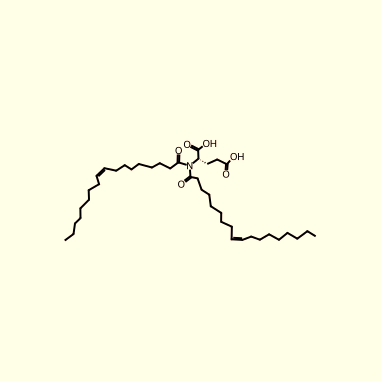 CCCCCCCC/C=C\CCCCCCCC(=O)N(C(=O)CCCCCCC/C=C\CCCCCCCC)[C@@H](CCC(=O)O)C(=O)O